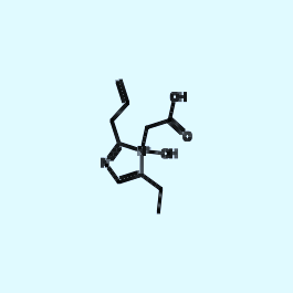 C=CCC1=NC=C(CC)[N+]1(O)CC(=O)O